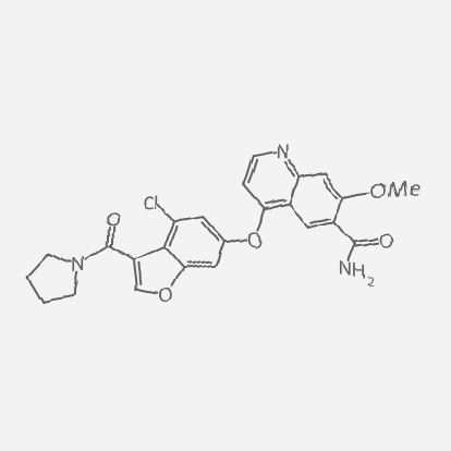 COc1cc2nccc(Oc3cc(Cl)c4c(C(=O)N5CCCC5)coc4c3)c2cc1C(N)=O